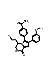 NC(=O)c1ccc(-c2c(-c3cccc(OC(F)(F)F)c3)cc3n2C(CCCl)CNC3=O)cc1